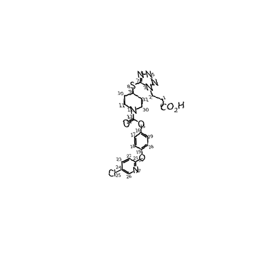 O=C(O)CCn1nnnc1SC1CCN(C(=O)Oc2ccc(Oc3ccc(Cl)cn3)cc2)CC1